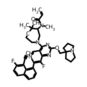 C#Cc1c(F)ccc2cccc(-c3ncc4c(N5CCCC(C)(C)C(N(C)C(=O)C=C)C5)nc(OCC56CCCN5CCC6)nc4c3F)c12